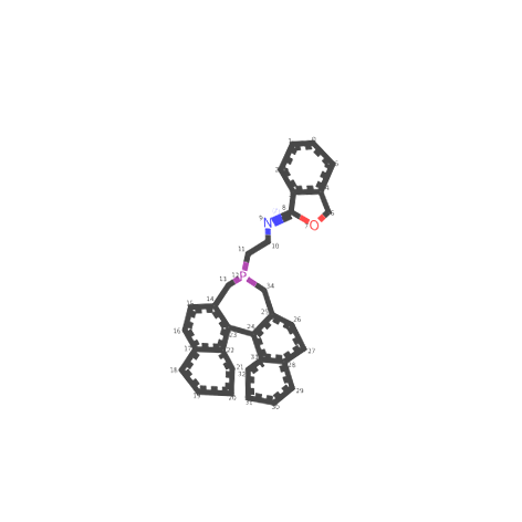 c1ccc2c(c1)CO/C2=N\CCP1Cc2ccc3ccccc3c2-c2c(ccc3ccccc23)C1